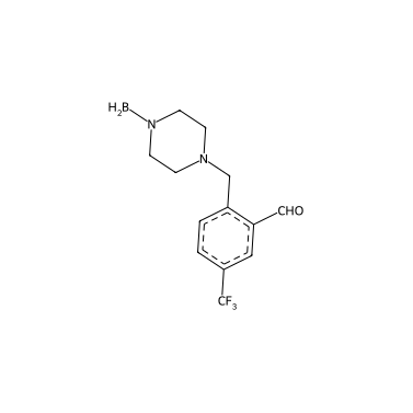 BN1CCN(Cc2ccc(C(F)(F)F)cc2C=O)CC1